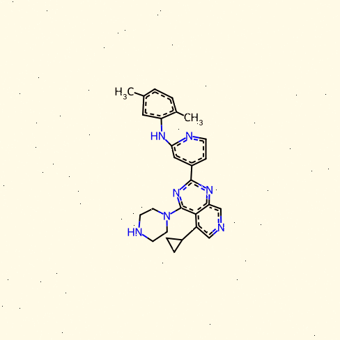 Cc1ccc(C)c(Nc2cc(-c3nc(N4CCNCC4)c4c(C5CC5)cncc4n3)ccn2)c1